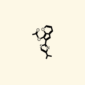 CC(=O)Oc1c(-c2nc(C(C)C)cs2)cc2cccoc1-2